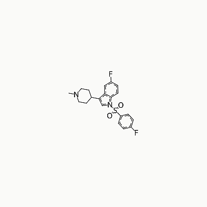 CN1CCC(c2cn(S(=O)(=O)c3ccc(F)cc3)c3ccc(F)cc23)CC1